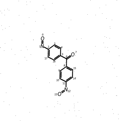 O=Nc1ccc(C(=O)c2ccc(N=O)cc2)cc1